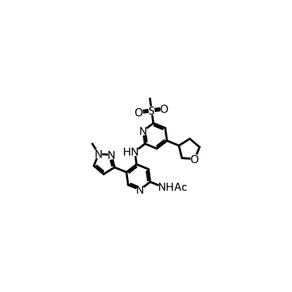 CC(=O)Nc1cc(Nc2cc(C3CCOC3)cc(S(C)(=O)=O)n2)c(-c2ccn(C)n2)cn1